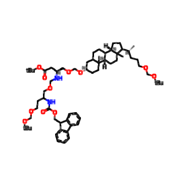 C[C@H](CCCOCOC(C)(C)C)C1CC[C@H]2C3CCC4C[C@@H](OCOC[C@H](CC(=O)OC(C)(C)C)NCOCC(CCOCOC(C)(C)C)NC(=O)OCC5c6ccccc6-c6ccccc65)CCC4(C)[C@H]3CCC12C